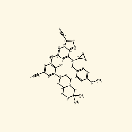 COc1ccc(CN(c2nc(Nc3cc(C#N)cc(N4CCN5CC(C)(C)OCC5C4)c3Cl)nn3c(C#N)cnc23)C2CC2)cc1